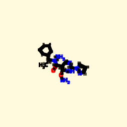 C[C@H](C1CCCCC1)N(N)C(=O)C1=C(ON)NC(n2cccn2)N=C1